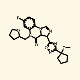 COC1(c2noc(C3N=CN4c5ccc(F)cc5N(CC5CCCO5)C(=O)C34)n2)CCCC1